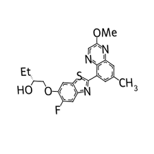 CC[C@@H](O)COc1cc2sc(-c3cc(C)cc4nc(OC)cnc34)nc2cc1F